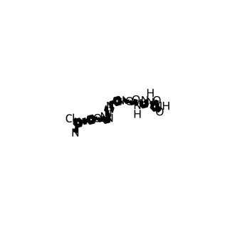 CC(C)(c1ccc(OCc2ccnc(N3CCN(CC4CCN(CCOCC(=O)Nc5ccc(NC6CCC(=O)NC6=O)nc5)CC4)CC3)n2)cc1)c1cc(Cl)cc(C#N)c1